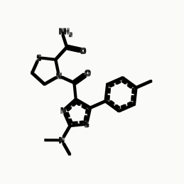 Cc1ccc(-c2sc(N(C)C)nc2C(=O)N2CCSC2C(N)=O)cc1